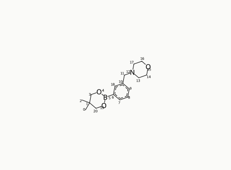 CC1(C)COB(c2cccc(CN3CCOCC3)c2)OC1